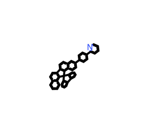 c1ccc(-c2ccc(-c3ccc4c5c(ccc4c3)-c3ccc4ccccc4c3C53c4ccccc4-c4ccccc43)cc2)nc1